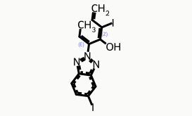 C=C/C(I)=C(O)\C(=C/C)n1nc2ccc(I)cc2n1